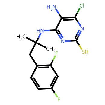 CC(C)(Cc1ccc(F)cc1F)Nc1nc(S)nc(Cl)c1N